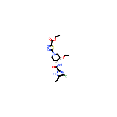 CCOC(=O)c1nnc(N2CC[C@@H](NC(=O)c3nc(Cl)c(CC)[nH]3)[C@@H](OCC)C2)s1